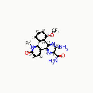 CC(C)n1cc(-c2nc(C(N)=O)c(N)nc2-c2ccccc2OC(F)(F)F)ccc1=O